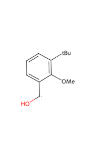 COc1c([CH]O)cccc1C(C)(C)C